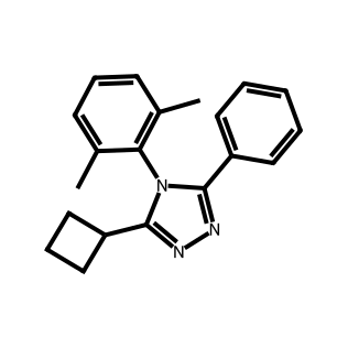 Cc1cccc(C)c1-n1c(-c2ccccc2)nnc1C1CCC1